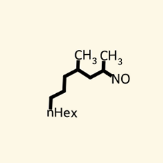 CCCCCCCCCC(C)CC(C)N=O